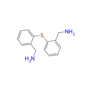 NCc1ccccc1Sc1ccccc1CN